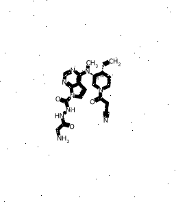 C=C[C@@H]1CCN(C(=O)CC#N)C[C@@H]1N(C)c1ncnc2c1ccn2C(=O)NNC(=O)CN